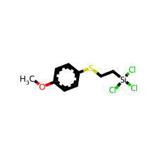 COc1ccc(SCC[Si](Cl)(Cl)Cl)cc1